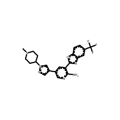 CN1CCC(n2cc(-c3cnc(N)c(-c4nc5cc(C(F)(F)F)ccc5o4)c3)cn2)CC1